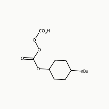 CCCCC1CCC(OC(=O)OOC(=O)O)CC1